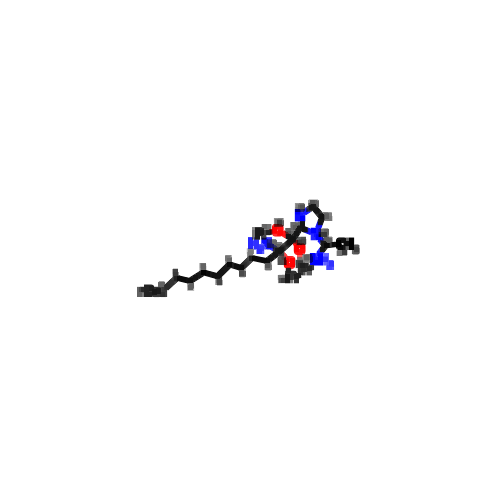 CCCCCCCCCCCCCCCCCCC(N)(OC(C)C)C(OC(C)C)(OC(C)C)C1=NCCN1C(C)N